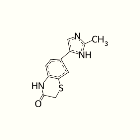 Cc1ncc(-c2ccc3c(c2)SCC(=O)N3)[nH]1